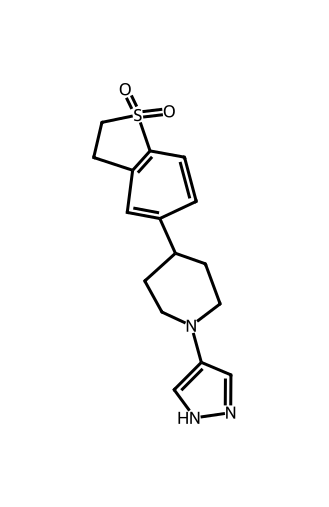 O=S1(=O)CCc2cc(C3CCN(c4cn[nH]c4)CC3)ccc21